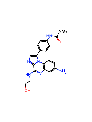 CNC(=O)Nc1ccc(-c2cnc3c(NCCO)nc4cc(N)ccc4n23)cc1